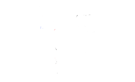 CCCCCCCCCCC[C@H](CC(=O)O[C@H]1[C@H](OP(=O)(Oc2ccccc2)Oc2ccccc2)[C@@H](COC(=O)OC(C)(C)C(Cl)(Cl)Cl)O[CH][C@@H]1NC(=O)OCC(Cl)(Cl)Cl)OC(=O)CCCCCCCCCC